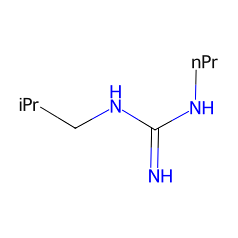 CCCNC(=N)NCC(C)C